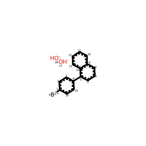 [B+2]c1ccc(-c2cccc3ccccc23)cc1.[OH-].[OH-]